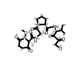 CON1C(=O)CCC(=O)[C@]1(C)C(=O)N[C@@H](C)C(=O)N1CCC[C@H]1C(=O)N[C@H](C(=O)C(=O)CCl)C(C)C